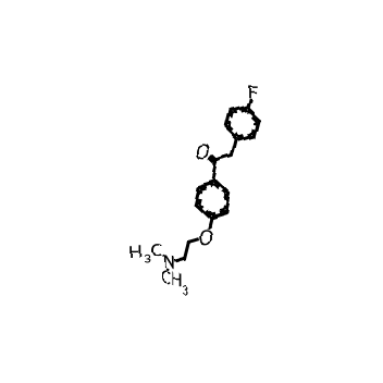 CN(C)CCOc1ccc(C(=O)Cc2ccc(F)cc2)cc1